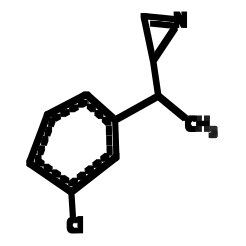 CC(c1cccc(Cl)c1)C1C=N1